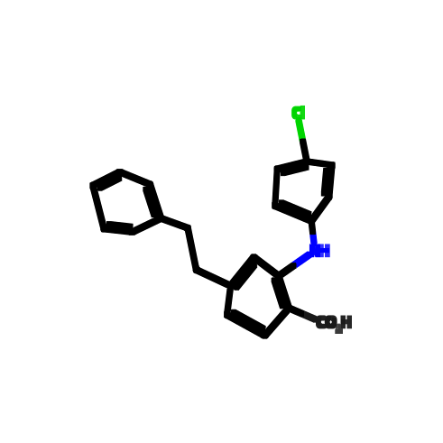 O=C(O)c1ccc(CCc2ccccc2)cc1Nc1ccc(Cl)cc1